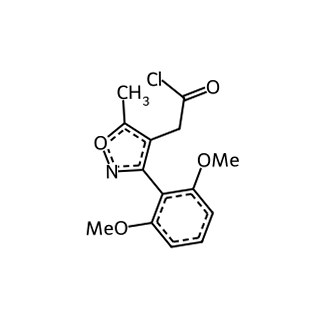 COc1cccc(OC)c1-c1noc(C)c1CC(=O)Cl